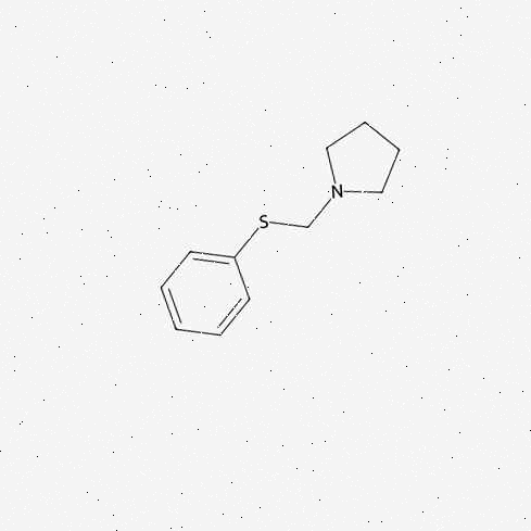 c1ccc(SCN2CCCC2)cc1